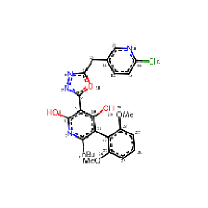 CCCCc1nc(O)c(-c2nnc(Cc3ccc(Cl)nc3)o2)c(O)c1-c1c(OC)cccc1OC